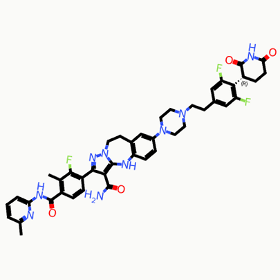 Cc1cccc(NC(=O)c2ccc(-c3nn4c(c3C(N)=O)Nc3ccc(N5CCN(CCc6cc(F)c([C@H]7CCC(=O)NC7=O)c(F)c6)CC5)cc3CC4)c(F)c2C)n1